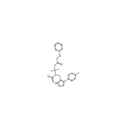 Cc1ccc(-c2cc[nH]c2CC([N+](=O)[O-])C(C)(C)CC(=O)COc2ccccc2)cc1